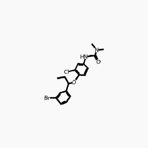 CCC(Oc1ccc(NC(=O)N(C)C)cc1Cl)c1cccc(Br)c1